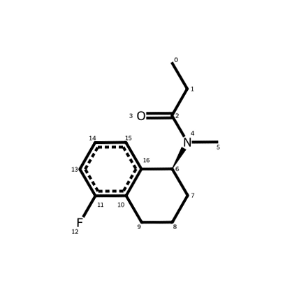 CCC(=O)N(C)[C@H]1CCCc2c(F)cccc21